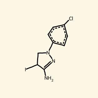 NC1=NN(c2ccc(Cl)cc2)CC1I